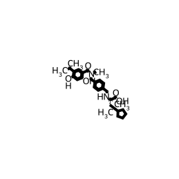 CC(C)c1cc(C(=O)N(C)Cc2ccc(CN[C@@H](CC(C)(C)C3CCCC3)C(=O)O)cc2)c(O)cc1O